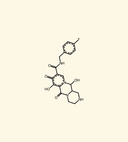 O=C(NCc1ccc(F)cc1)c1cn2c(c(O)c1=O)C(=O)N1CCNCC1C2O